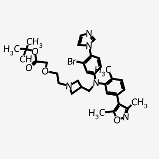 Cc1ccc(-c2c(C)noc2C)cc1N(CC1CN(CCOCC(=O)OC(C)(C)C)C1)c1ccc(-n2ccnc2)c(Br)c1